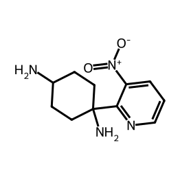 NC1CCC(N)(c2ncccc2[N+](=O)[O-])CC1